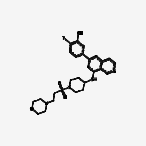 N#Cc1cc(-c2cc(NC3CCN(S(=O)(=O)CCN4CCOCC4)CC3)c3cnccc3c2)ccc1F